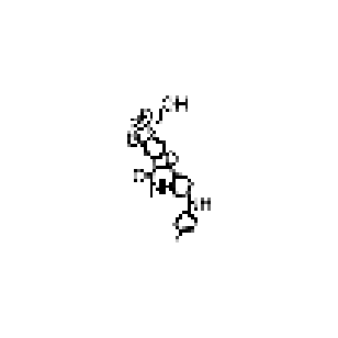 CNC(=O)c1c(-c2ccc(Nc3ccc(C)cc3)cc2)oc2cc(N(CCO)S(C)(=O)=O)c(OC)cc12